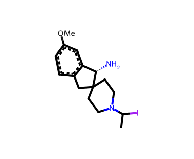 COc1ccc2c(c1)[C@H](N)C1(CCN(C(C)I)CC1)C2